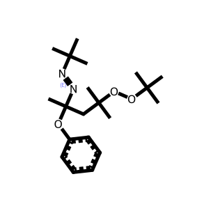 CC(C)(C)/N=N/C(C)(CC(C)(C)OOC(C)(C)C)Oc1ccccc1